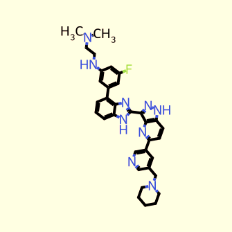 CN(C)CCNc1cc(F)cc(-c2cccc3[nH]c(-c4n[nH]c5ccc(-c6cncc(CN7CCCCC7)c6)nc45)nc23)c1